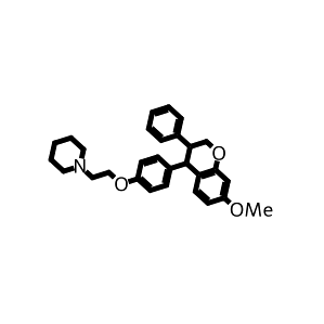 COc1ccc2c(c1)OCC(c1ccccc1)C2c1ccc(OCCN2CCCCC2)cc1